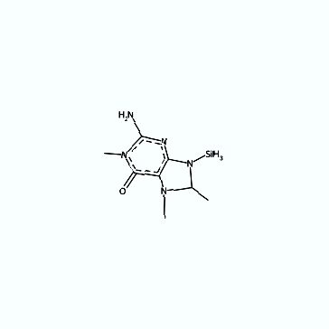 CC1N(C)c2c(nc(N)n(C)c2=O)N1[SiH3]